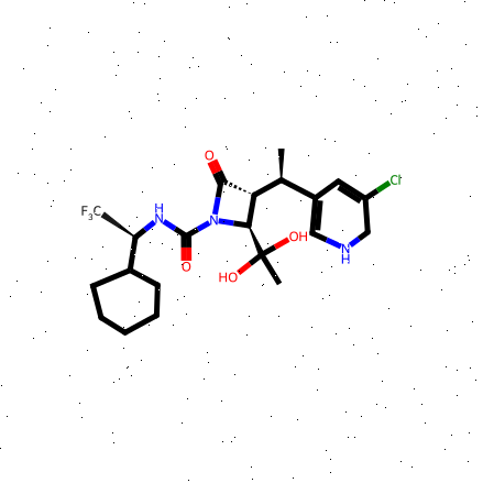 C[C@@H](C1=CNCC(Cl)=C1)[C@H]1C(=O)N(C(=O)N[C@@H](C2CCCCC2)C(F)(F)F)[C@@H]1C(C)(O)O